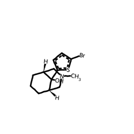 CN1C[C@H]2CCC[C@@H](C1)C2(O)c1ccc(Br)s1